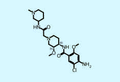 COc1cc(N)c(Cl)cc1C(=O)N[C@@H]1CCN(CC(=O)NC2CCCN(C)C2)C[C@@H]1OC